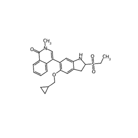 CCS(=O)(=O)C1Cc2cc(OCC3CC3)c(-c3cn(C)c(=O)c4ccccc34)cc2N1